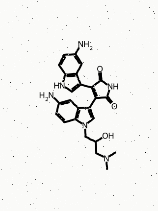 CN(C)CC(O)Cn1cc(C2=C(c3c[nH]c4ccc(N)cc34)C(=O)NC2=O)c2cc(N)ccc21